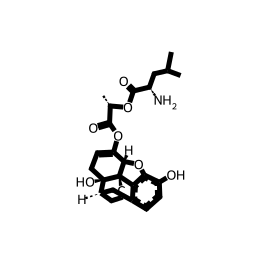 CC(C)C[C@H](N)C(=O)O[C@@H](C)C(=O)OC1=CC[C@@]2(O)[C@@H]3CCC[C@@]24c2c(ccc(O)c2O[C@@H]14)C3